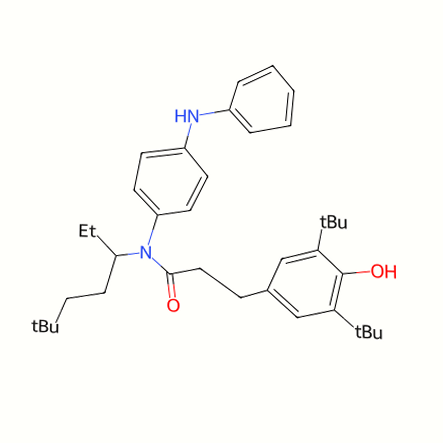 CCC(CCC(C)(C)C)N(C(=O)CCc1cc(C(C)(C)C)c(O)c(C(C)(C)C)c1)c1ccc(Nc2ccccc2)cc1